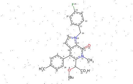 Cc1ccc(-c2c(C(OC(C)(C)C)C(=O)O)n(C)c(=O)c3c2ccn3Cc2ccc(F)cc2)cc1